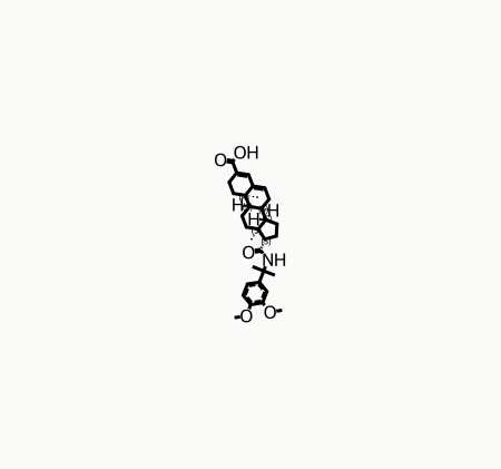 COc1ccc(C(C)(C)NC(=O)[C@H]2CC[C@H]3[C@@H]4CC=C5C=C(C(=O)O)CC[C@]5(C)[C@H]4CC[C@]23C)cc1OC